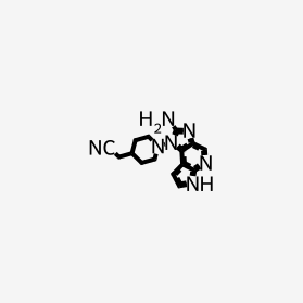 N#CCC1CCN(n2c(N)nc3cnc4[nH]ccc4c32)CC1